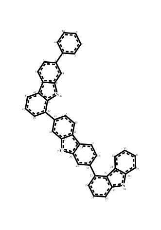 c1ccc(-c2ccc3c(c2)sc2c(-c4ccc5c(c4)oc4cc(-c6cccc7sc8ccccc8c67)ccc45)cccc23)cc1